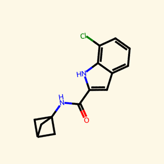 O=C(NC12CC(C1)C2)c1cc2cccc(Cl)c2[nH]1